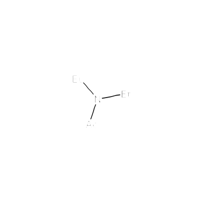 [CH2]CN(CC)C(C)=O